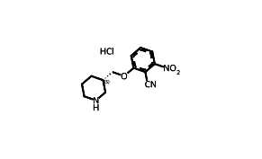 Cl.N#Cc1c(OC[C@H]2CCCNC2)cccc1[N+](=O)[O-]